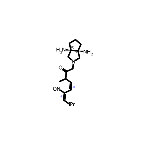 CC(C)/C=C(\C=C/C(C)C(=O)CN1C[C@]2(N)CCC[C@]2(N)C1)N=O